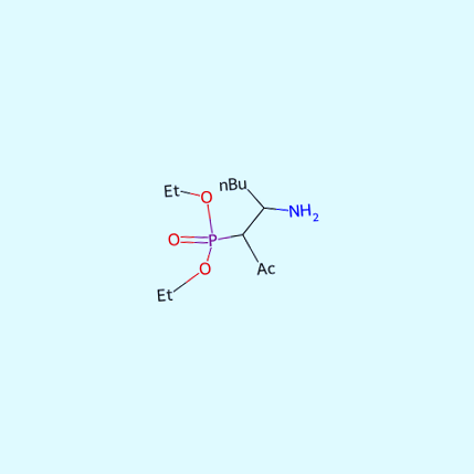 CCCCC(N)C(C(C)=O)P(=O)(OCC)OCC